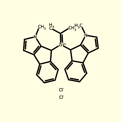 C[C](C)=[Zr+2]([CH]1c2ccccc2-c2ccn(C)c21)[CH]1c2ccccc2-c2ccn(C)c21.[Cl-].[Cl-]